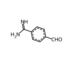 N=C(N)c1ccc(C=O)cc1